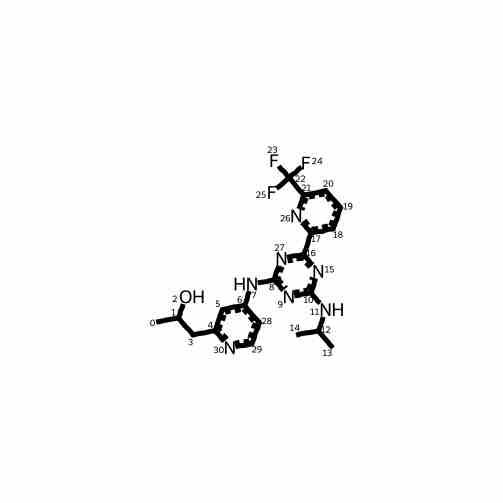 CC(O)Cc1cc(Nc2nc(NC(C)C)nc(-c3cccc(C(F)(F)F)n3)n2)ccn1